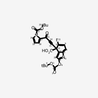 CC(C)(C)OC(=O)OC1=NC2=CC=C(F)C(C#CC(=O)c3cccn3C(=O)OC(C)(C)C)(C(=O)O)C2=C1